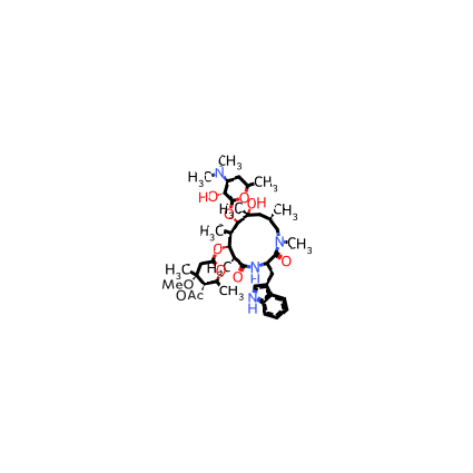 CO[C@]1(C)CC(O[C@H]2C(C)[C@@H](OC3OC(C)CC(N(C)C)[C@H]3O)[C@](C)(O)C[C@@H](C)CN(C)C(=O)C(Cc3c[nH]c4ccccc34)NC(=O)[C@@H]2C)OC(C)[C@@H]1OC(C)=O